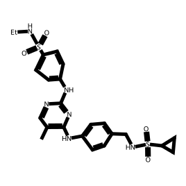 CCNS(=O)(=O)c1ccc(Nc2ncc(C)c(Nc3ccc(CNS(=O)(=O)C4CC4)cc3)n2)cc1